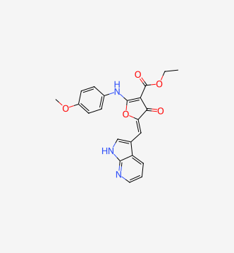 CCOC(=O)C1=C(Nc2ccc(OC)cc2)O/C(=C\c2c[nH]c3ncccc23)C1=O